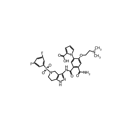 CN(C)CCOc1cc(C(N)=O)c(C(=O)Nc2n[nH]c3c2CN(S(=O)(=O)c2cc(F)cc(F)c2)CC3)cc1-n1cccc1C(=O)O